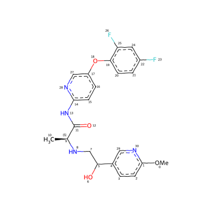 COc1ccc(C(O)CN[C@@H](C)C(=O)Nc2ccc(Oc3ccc(F)cc3F)cn2)cn1